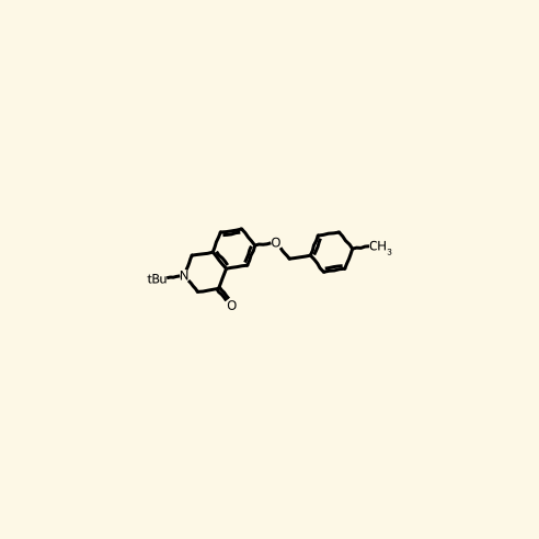 CC1C=CC(COc2ccc3c(c2)C(=O)CN(C(C)(C)C)C3)=CC1